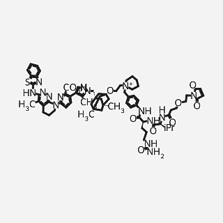 Cc1c(Nc2nc3ccccc3s2)nnc2c1CCCN2c1ccc(-c2cnn(C[C@]34C[C@]5(C)C[C@](C)(C3)C[C@@](OCC[N+]3(Cc6ccc(NC(=O)[C@H](CCCNC(N)=O)NC(=O)[C@@H](NC(=O)CCOCCN7C(=O)C=CC7=O)C(C)C)cc6)CCCCC3)(C5)C4)c2C)c(C(=O)O)n1